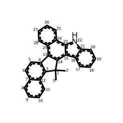 CC1(C)c2c(ccc3ccccc23)-c2c1c1c3ccccc3[nH]c1c1ccccc21